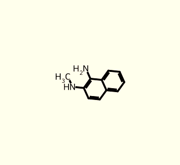 CNc1ccc2ccccc2c1N